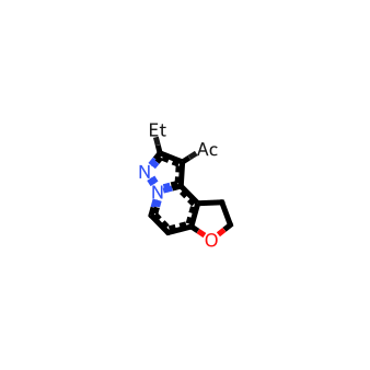 CCc1nn2ccc3c(c2c1C(C)=O)CCO3